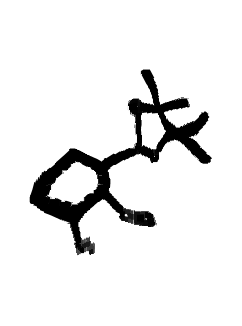 CC1(C)OB(c2cccc(N)c2C=O)OC1(C)C